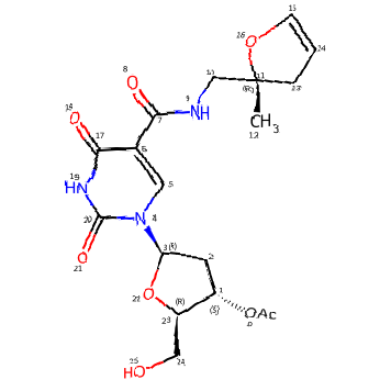 CC(=O)O[C@H]1C[C@H](n2cc(C(=O)NC[C@@]3(C)CC=CO3)c(=O)[nH]c2=O)O[C@@H]1CO